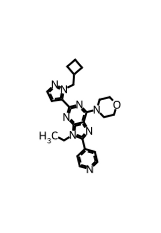 CCn1c(-c2ccncc2)nc2c(N3CCOCC3)nc(-c3ccnn3CC3CCC3)nc21